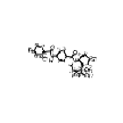 O=C(Nc1ccc(C(=O)N2CCC(F)(F)[C@](O)(CO)c3cc(Cl)ccc32)cc1)c1ccc(F)cc1Cl